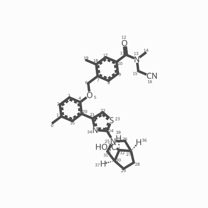 Cc1ccc(OCc2ccc(C(=O)N(C)CC#N)cc2C)c(-c2csc(N3C[C@H]4CC[C@@H](C3)[C@H]4C(=O)O)n2)c1